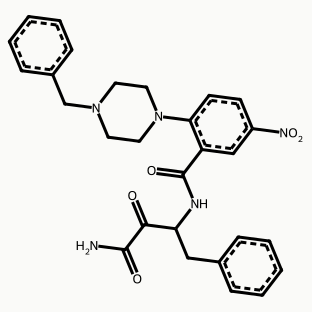 NC(=O)C(=O)C(Cc1ccccc1)NC(=O)c1cc([N+](=O)[O-])ccc1N1CCN(Cc2ccccc2)CC1